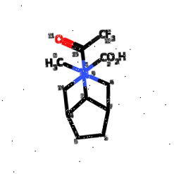 CN(C(=O)O)C1C2CCC1CN(C(=O)C(F)(F)F)C2